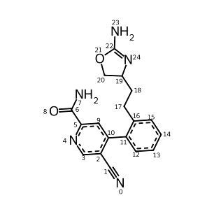 N#Cc1cnc(C(N)=O)cc1-c1ccccc1CCC1COC(N)=N1